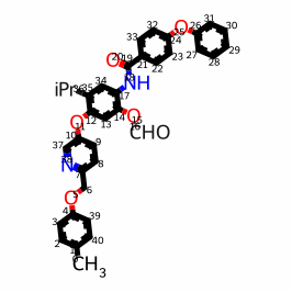 Cc1ccc(OCc2ccc(Oc3cc(OC=O)c(NC(=O)c4ccc(Oc5ccccc5)cc4)cc3C(C)C)cn2)cc1